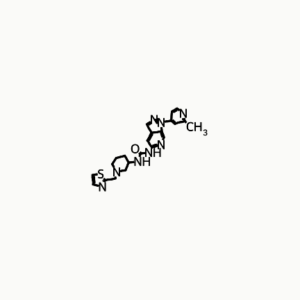 Cc1cc(-n2ncc3cc(NC(=O)NC4CCCN(Cc5nccs5)C4)ncc32)ccn1